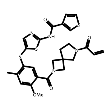 C=CC(=O)N1CCC2(C1)CN(C(=O)c1cc(Sc3cnc(NC(=O)c4ccsc4)s3)c(C)cc1OC)C2